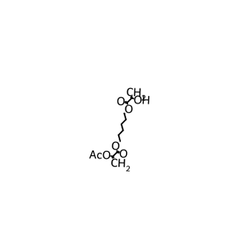 C=C(O)C(=O)OCCCCCCOC(=O)C(=C)OC(C)=O